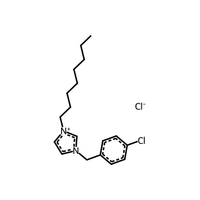 CCCCCCCC[n+]1ccn(Cc2ccc(Cl)cc2)c1.[Cl-]